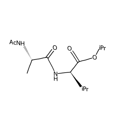 CC(=O)N[C@@H](C)C(=O)N[C@@H](C(=O)OC(C)C)C(C)C